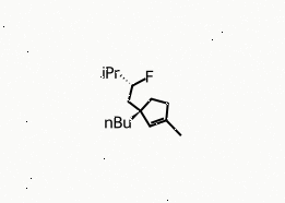 CCCC[C@]1(C[C@@H](F)C(C)C)C=C(C)CC1